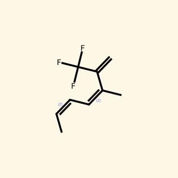 C=C(/C(C)=C\C=C/C)C(F)(F)F